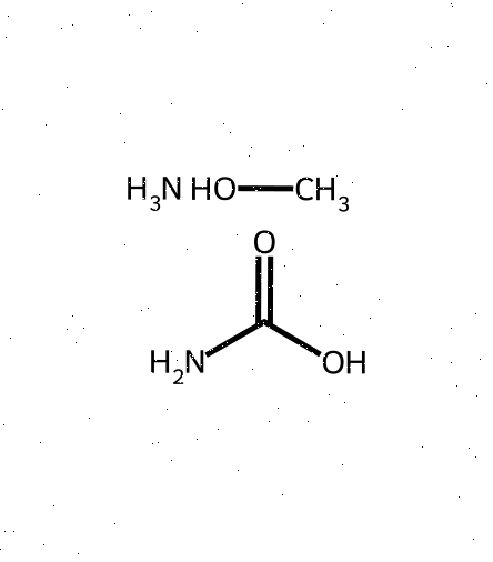 CO.N.NC(=O)O